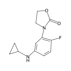 O=C1OCCN1c1cc(NC2CC2)ccc1F